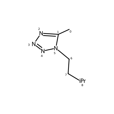 Cc1nnnn1CCC(C)C